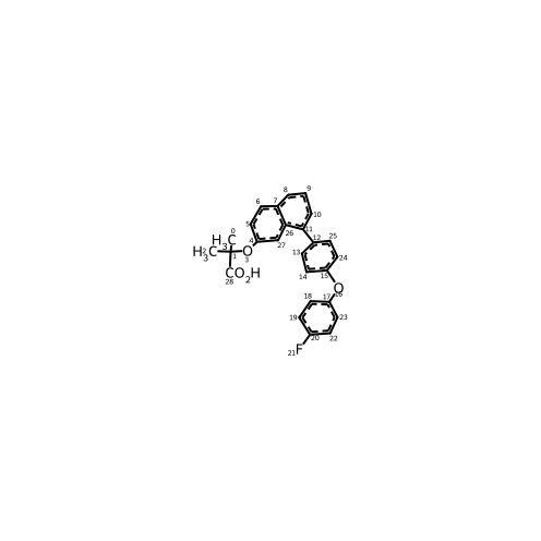 CC(C)(Oc1ccc2cccc(-c3ccc(Oc4ccc(F)cc4)cc3)c2c1)C(=O)O